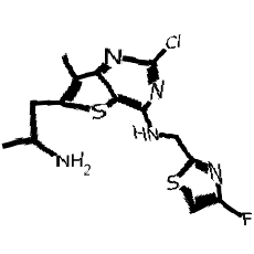 Cc1c(CC(C)N)sc2c(NCc3nc(F)cs3)nc(Cl)nc12